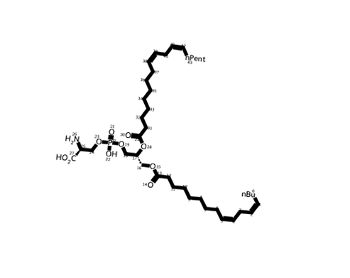 CCCC/C=C\C/C=C\CCCCCCCC(=O)OC[C@H](COP(=O)(O)OC[C@H](N)C(=O)O)OC(=O)CCCCCCC/C=C\C/C=C\CCCCC